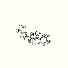 CN(C)C(=O)c1ccc(S(=O)(=O)NC(c2ccc(F)cc2)C(F)(F)F)s1